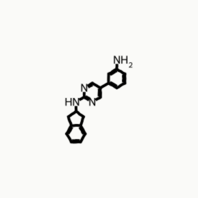 Nc1cccc(-c2cnc(NC3Cc4ccccc4C3)nc2)c1